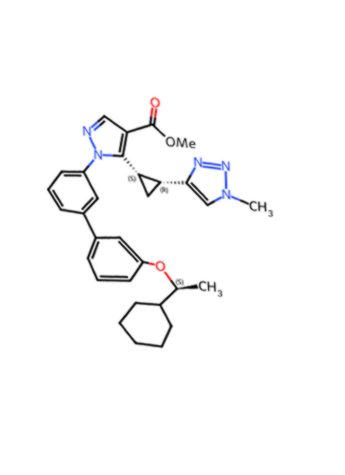 COC(=O)c1cnn(-c2cccc(-c3cccc(O[C@@H](C)C4CCCCC4)c3)c2)c1[C@H]1C[C@H]1c1cn(C)nn1